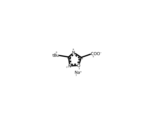 CC(C)(C)c1noc(C(=O)[O-])n1.[Na+]